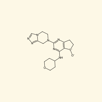 [O-][S+]1CCc2nc(N3CCn4cnnc4C3)nc(NC3CCOCC3)c21